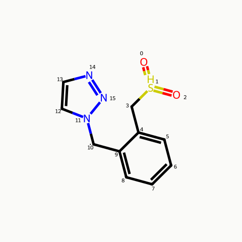 O=[SH](=O)Cc1ccccc1[CH]n1ccnn1